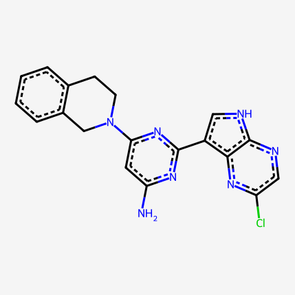 Nc1cc(N2CCc3ccccc3C2)nc(-c2c[nH]c3ncc(Cl)nc23)n1